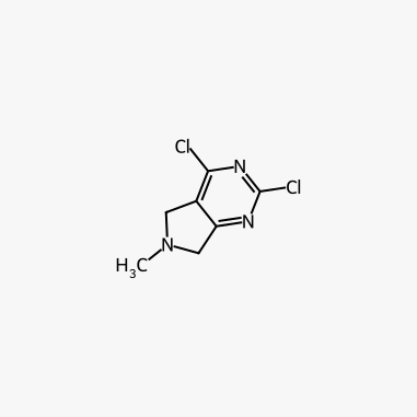 CN1Cc2nc(Cl)nc(Cl)c2C1